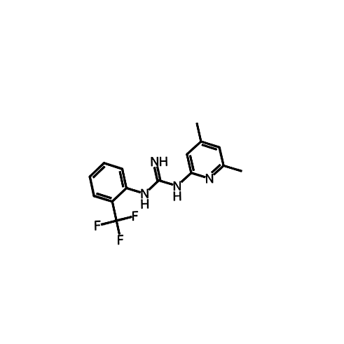 Cc1cc(C)nc(NC(=N)Nc2ccccc2C(F)(F)F)c1